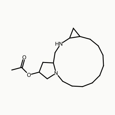 CC(=O)OC1CC2CNC3CC3CCCCCCCCCN2C1